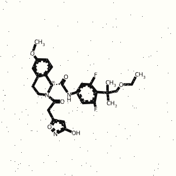 CCOCC(C)(C)c1c(F)cc(NC(=O)[C@H]2c3ccc(OC)cc3CCN2C(=O)Cc2cc(O)no2)cc1F